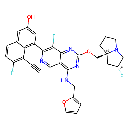 C#Cc1c(F)ccc2cc(O)cc(-c3ncc4c(NCc5ccco5)nc(OC[C@@]56CCCN5C[C@H](F)C6)nc4c3F)c12